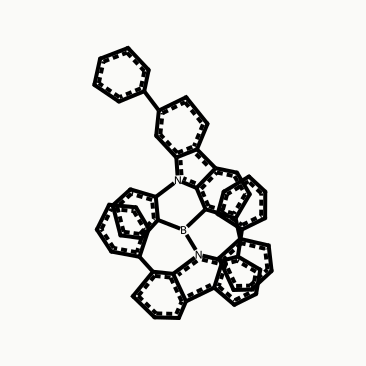 c1ccc(-c2ccc3c4ccc(-c5ccccc5)c5c4n(c3c2)-c2ccccc2B5n2c3c(-c4ccccc4)cccc3c3cccc(-c4ccccc4)c32)cc1